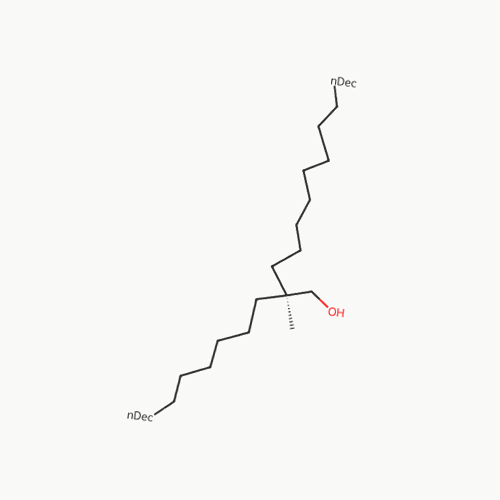 CCCCCCCCCCCCCCCCCC[C@@](C)(CO)CCCCCCCCCCCCCCCC